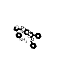 C[C@H]1CN(CC(C(=O)OCc2ccccc2)c2ccccc2)CC[C@H]1N(C(=O)c1ccco1)c1cccc(N)c1